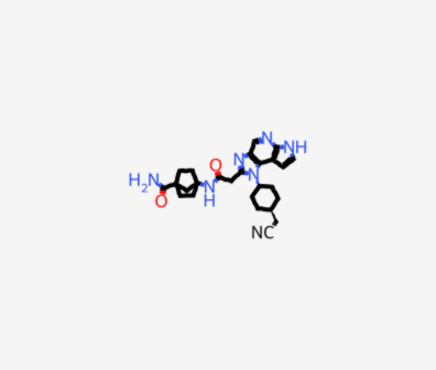 N#CC[C@H]1CC[C@@H](n2c(CC(=O)NC34CCC(C(N)=O)(CC3)C4)nc3cnc4[nH]ccc4c32)CC1